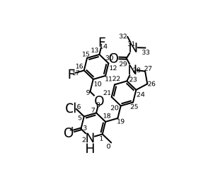 Cc1[nH]c(=O)c(Cl)c(OCc2ccc(F)cc2F)c1Cc1ccc2c(c1)CCN2C(=O)N(C)C